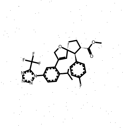 COC(=O)[C@H]1CC[C@@]2(C=C(c3cc(-n4nnnc4C(F)(F)F)ccc3C(C)C)CO2)[C@@H]1c1ccc(F)cc1